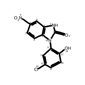 O=c1[nH]c2cc([N+](=O)[O-])ccc2n1-c1cc(Cl)ccc1O